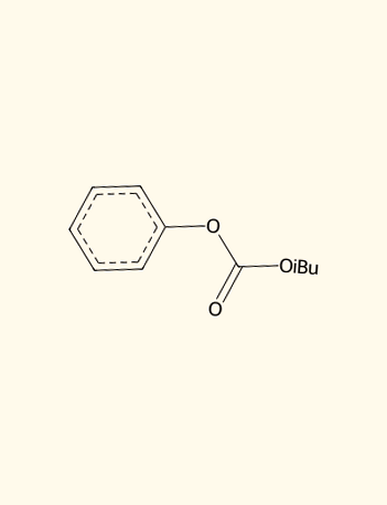 CC(C)COC(=O)Oc1ccccc1